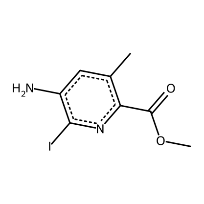 COC(=O)c1nc(I)c(N)cc1C